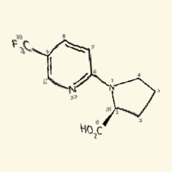 O=C(O)[C@@H]1CCCN1c1ccc(C(F)(F)F)cn1